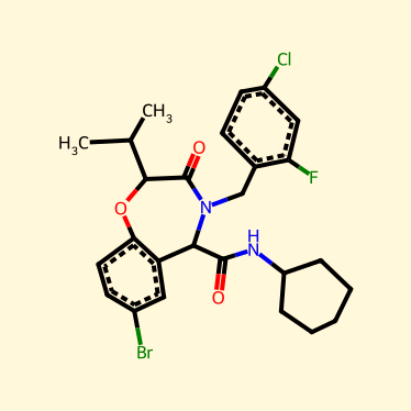 CC(C)C1Oc2ccc(Br)cc2C(C(=O)NC2CCCCC2)N(Cc2ccc(Cl)cc2F)C1=O